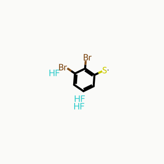 F.F.F.[S]c1cccc(Br)c1Br